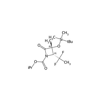 CC(C)OC(=O)N1C(=O)[C@](C)(O[Si](C)(C)C(C)(C)C)[C@@H]1C(C)(F)F